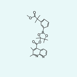 COC(=O)C(C)(C)c1cccc(B2OC(C)(C)C(C)(OC(=O)c3c(C)c(C)nc4ncccc34)O2)c1